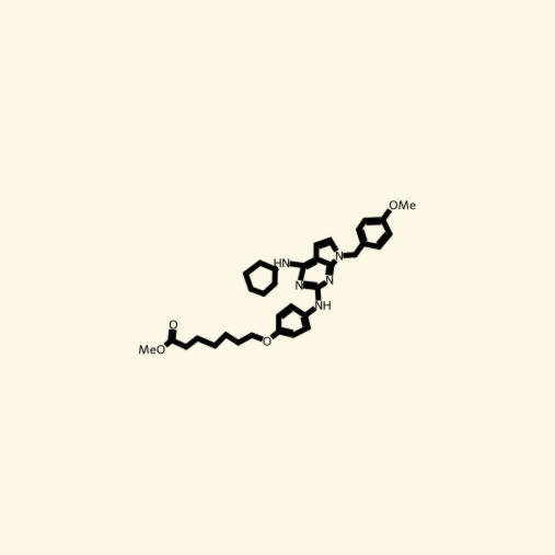 COC(=O)CCCCCCOc1ccc(Nc2nc(NC3CCCCC3)c3ccn(Cc4ccc(OC)cc4)c3n2)cc1